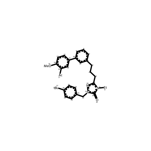 CCn1c(CCCc2cccc(-c3ccc(OC)c(C(C)=O)c3)c2)nn(Cc2ccc(C(C)(C)C)cc2)c1=O